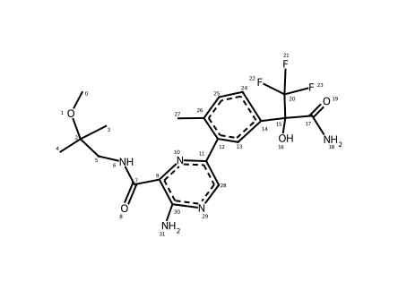 COC(C)(C)CNC(=O)c1nc(-c2cc(C(O)(C(N)=O)C(F)(F)F)ccc2C)cnc1N